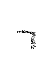 [Al+3].[Al+3].[Al+3].[N-3].[N-3].[N-3].[N-3].[N-3].[N-3].[N-3].[N-3].[N-3].[N-3].[N-3].[Pt+4].[Pt+4].[Pt+4].[Ti+4].[Ti+4].[Ti+4]